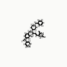 Cc1nc(C)c(C=CC(=O)N(Cc2ccc(N(C)c3ccncc3)cc2)C2CCN(Cc3ccccc3)CC2)s1